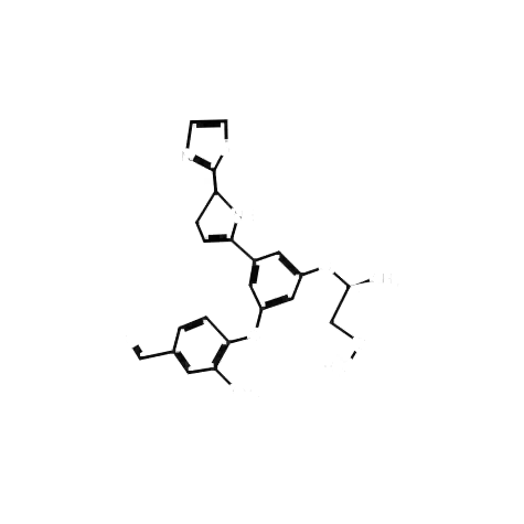 COC[C@H](C)Oc1cc(Oc2ccc(C=O)cc2C)cc(C2=CCC(c3nccs3)N2)c1